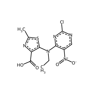 CCN(c1nc(Cl)ncc1[N+](=O)[O-])c1sc(C)nc1C(=O)O